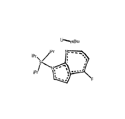 CC(C)[Si](C(C)C)(C(C)C)n1ccc2c(F)ccnc21.[Li][CH2]CCC